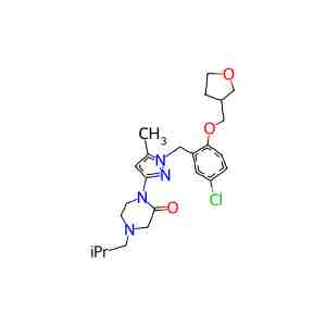 Cc1cc(N2CCN(CC(C)C)CC2=O)nn1Cc1cc(Cl)ccc1OCC1CCOC1